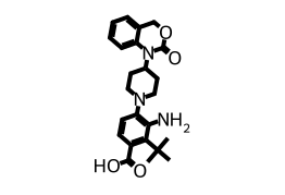 CC(C)(C)c1c(C(=O)O)ccc(N2CCC(N3C(=O)OCc4ccccc43)CC2)c1N